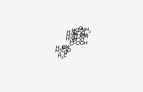 CCOC(=O)C(NCc1ccc(OC)c(-c2ccc(O)c3c2C[C@H]2C[C@H]4[C@H](N(C)C)C(O)=C(C(N)=O)C(=O)[C@@]4(O)C(O)=C2C3=O)c1)C(C)C